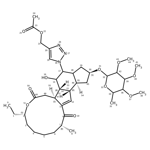 CC[C@H]1CCCC[C@@H](C)C(=O)C2=C[C@@H]3[C@@H](C(O)C(n4cc(COC(C)=O)nn4)C4C[C@@H](OC5OC(C)C(OC)C(OC)C5OC)C[C@H]43)[C@@H]2CC(=O)O1